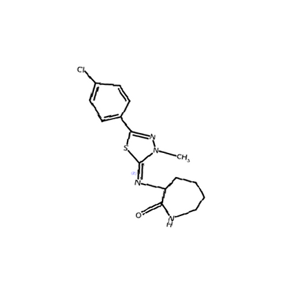 Cn1nc(-c2ccc(Cl)cc2)s/c1=N/C1CCCCNC1=O